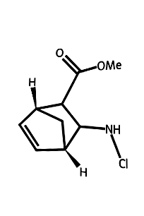 COC(=O)C1C(NCl)[C@@H]2C=C[C@H]1C2